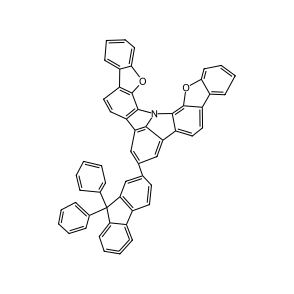 C1=C=C2C(=CC=1)C(c1ccccc1)(c1ccccc1)c1cc(-c3cc4c5ccc6c7ccccc7oc6c5n5c4c(c3)c3ccc4c6ccccc6oc4c35)ccc12